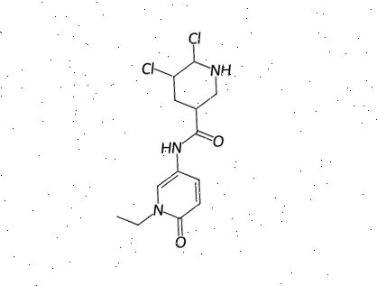 CCn1cc(NC(=O)C2CNC(Cl)C(Cl)C2)ccc1=O